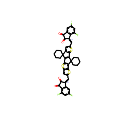 O=C1C(=O)c2c(F)cc(F)cc2/C1=C/c1cc2sc3c(c2s1)C1(CCCCC1)C1=C3C2(CCCCC2)c2cc(/C=C3\C(=O)C(=O)c4cc(F)cc(F)c43)sc21